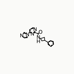 O=C(NC1CC(c2ccccc2)C1)c1nccc(-n2ccnc2)n1